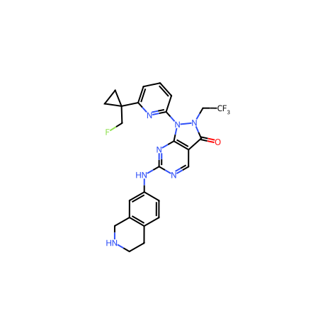 O=c1c2cnc(Nc3ccc4c(c3)CNCC4)nc2n(-c2cccc(C3(CF)CC3)n2)n1CC(F)(F)F